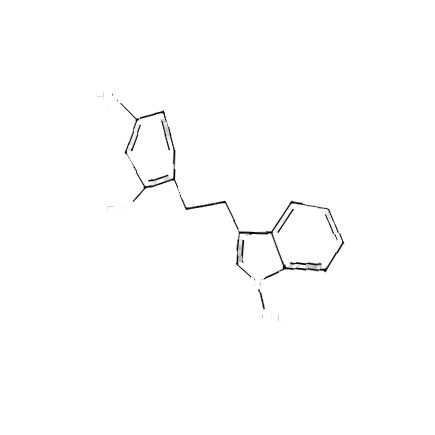 Cc1cc(N)ccc1CCc1cn(C)c2ccccc12